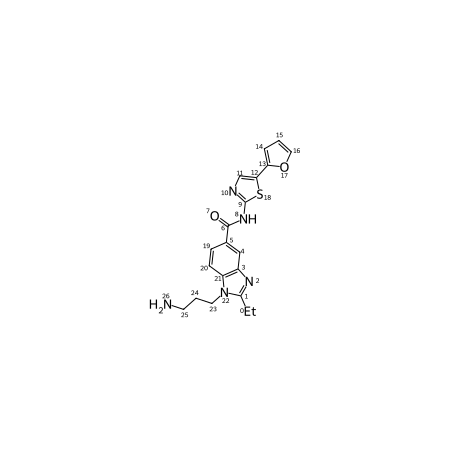 CCc1nc2cc(C(=O)Nc3ncc(-c4ccco4)s3)ccc2n1CCCN